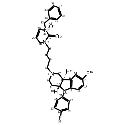 O=C1N(CCCCN2CC[C@@H]3[C@@H](C2)c2cc(F)ccc2N3c2ccc(F)cc2)CC=C[N+]1([O-])Cc1ccccc1